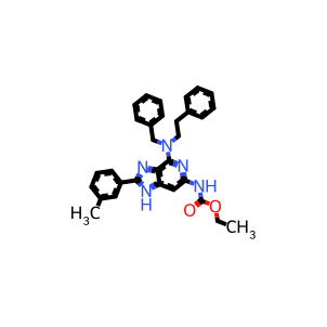 CCOC(=O)Nc1cc2[nH]c(-c3cccc(C)c3)nc2c(N(CCc2ccccc2)Cc2ccccc2)n1